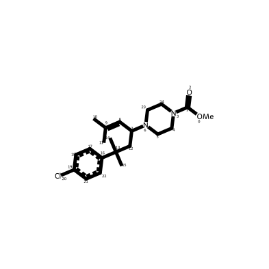 COC(=O)N1CCN(C(C=C(C)C)CC(C)(C)c2ccc(Cl)cc2)CC1